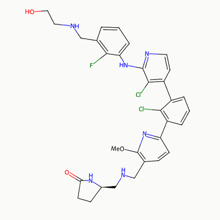 COc1nc(-c2cccc(-c3ccnc(Nc4cccc(CNCCO)c4F)c3Cl)c2Cl)ccc1CNC[C@H]1CCC(=O)N1